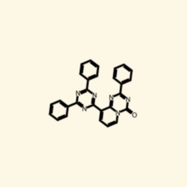 O=c1nc(-c2ccccc2)nc2c(-c3nc(-c4ccccc4)nc(-c4ccccc4)n3)cccn12